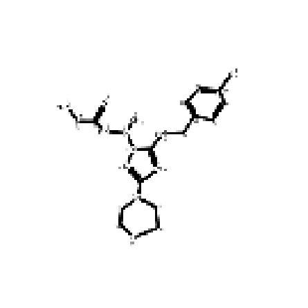 CN(NC(=S)NN)n1nc(N2CCOCC2)nc1NCc1ccc(Cl)cc1